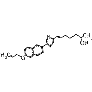 C=CCOc1ccc2cc(-c3ccc(C=CCCCC(C)O)nc3)ccc2c1